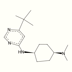 CN(C)[C@H]1CC[C@@H](Nc2cc(C(C)(C)C)ncn2)CC1